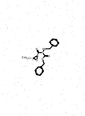 CCOC(=O)[C@H]1O[C@@H]1C(=O)N(NCc1ccccc1)C(=O)OCc1ccccc1